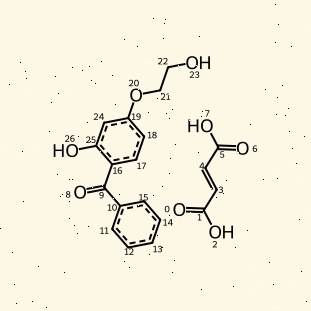 O=C(O)C=CC(=O)O.O=C(c1ccccc1)c1ccc(OCCO)cc1O